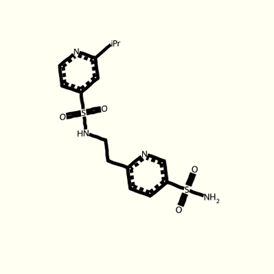 CC(C)c1cc(S(=O)(=O)NCCc2ccc(S(N)(=O)=O)cn2)ccn1